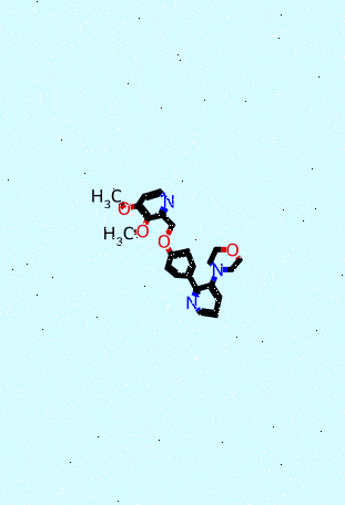 COc1ccnc(COc2ccc(-c3ncccc3N3CCOCC3)cc2)c1OC